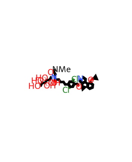 CNC(=O)CN(C[C@H](O)[C@@H](O)[C@H](O)[C@H](O)CO)C(=O)CCCCc1cc(Cl)c(COC2(c3cnccc3-c3ccccc3OC3CC3)CC2)cc1Cl